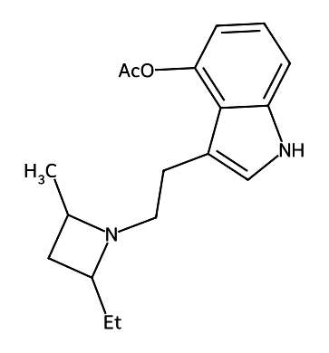 CCC1CC(C)N1CCc1c[nH]c2cccc(OC(C)=O)c12